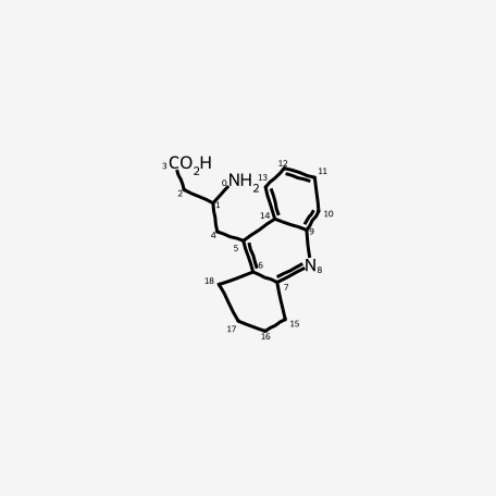 NC(CC(=O)O)Cc1c2c(nc3ccccc13)CCCC2